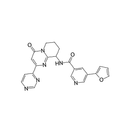 O=C(NC1CCCn2c1nc(-c1ccncn1)cc2=O)c1cncc(-c2ccco2)c1